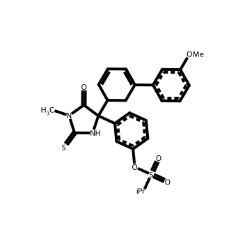 COc1cccc(C2=CC=CC(C3(c4cccc(OS(=O)(=O)C(C)C)c4)NC(=S)N(C)C3=O)C2)c1